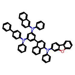 c1ccc(-c2ccc(N(c3ccccc3)c3cc(-c4ccc(N(c5ccccc5)c5ccc6c(c5)oc5ccccc56)c5ccccc45)cc(N(c4ccccc4)c4ccc5ccccc5c4)c3)cc2)cc1